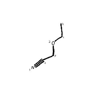 [CH2]COCC#N